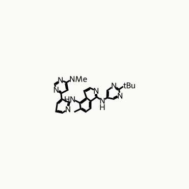 CNc1cc(-c2cccnc2Nc2c(C)ccc3c(Nc4cnc(C(C)(C)C)nc4)nccc23)ncn1